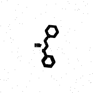 Br.c1ccc(OCCN2CCCCC2)cc1